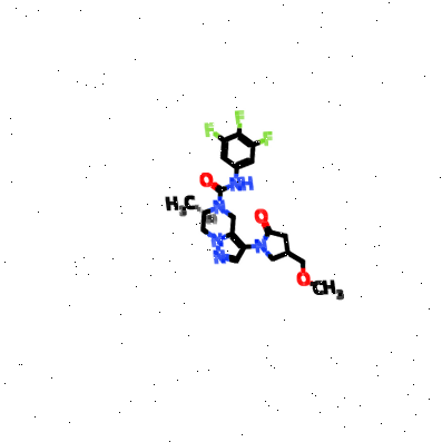 COCC1CC(=O)N(c2cnn3c2CN(C(=O)Nc2cc(F)c(F)c(F)c2)[C@@H](C)C3)C1